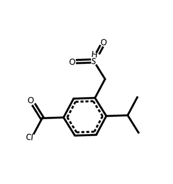 CC(C)c1ccc(C(=O)Cl)cc1C[SH](=O)=O